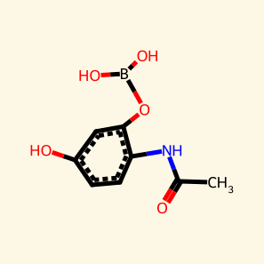 CC(=O)Nc1ccc(O)cc1OB(O)O